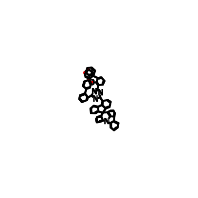 c1ccc(-c2ccc(-c3ccccc3-c3nc(-c4cccc5c4-c4ccccc4C54c5ccccc5-n5c6ccccc6c6cccc4c65)nc(-c4cccc5c4oc4ccccc45)n3)cc2)cc1